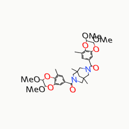 COC1Oc2cc(C(=O)N3CC4(C)CN(C(=O)c5cc(C)c6c(c5)OC(OC)C(OC)O6)CC(C)(C3)C4)cc(C)c2OC1OC